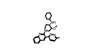 CO[C@H]1CN(c2nc3ccccc3cc2-c2ccc(C)nn2)CC[C@H]1NC1CCCCC1